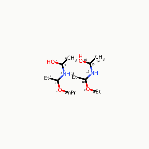 CCCOC(CC)NC(C)O.CCOC(CC)NC(C)O